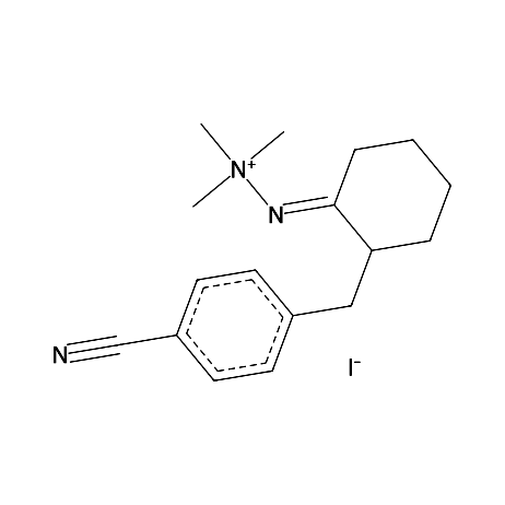 C[N+](C)(C)N=C1CCCCC1Cc1ccc(C#N)cc1.[I-]